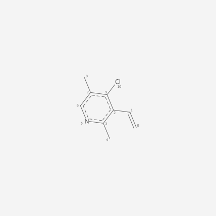 C=Cc1c(C)ncc(C)c1Cl